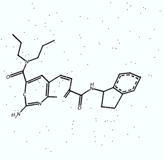 C=C(/C=C\C1=C(C)N=C(N)CC(C(=O)N(CCC)CCC)=C1)C(=O)NC1CCc2ccccc21